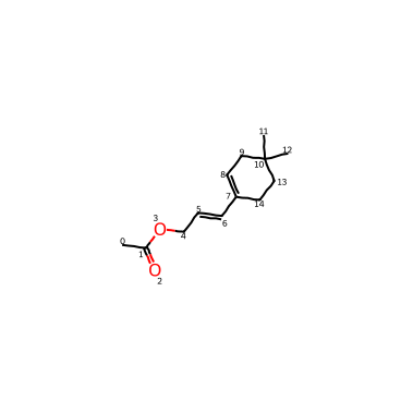 CC(=O)OCC=CC1=CCC(C)(C)CC1